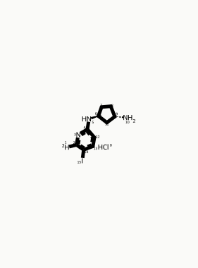 Cl.[2H]c1nc(N[C@H]2CC[C@H](N)C2)ccc1I